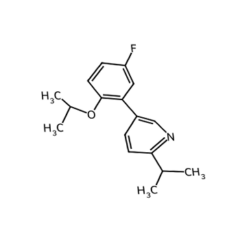 CC(C)Oc1ccc(F)cc1-c1ccc(C(C)C)nc1